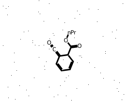 CCCOC(=O)C1C=CC=CC1=C=O